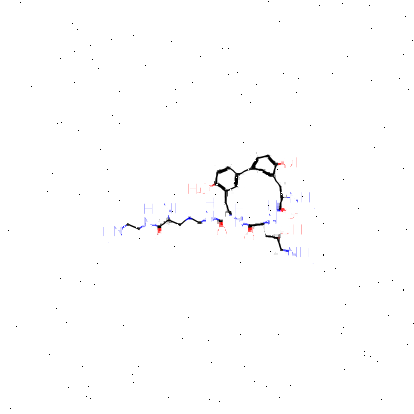 NCCNC(=O)[C@@H](N)CCCNC(=O)[C@@H]1Cc2cc(ccc2O)-c2ccc(O)c(c2)C[C@H](N)C(=O)N[C@@H](C[C@@H](O)CN)C(=O)N1